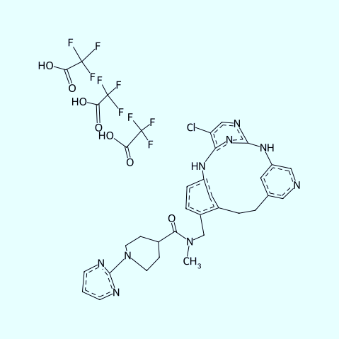 CN(Cc1ccc2cc1CCc1cncc(c1)Nc1ncc(Cl)c(n1)N2)C(=O)C1CCN(c2ncccn2)CC1.O=C(O)C(F)(F)F.O=C(O)C(F)(F)F.O=C(O)C(F)(F)F